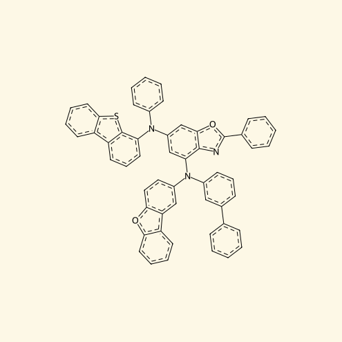 c1ccc(-c2cccc(N(c3ccc4oc5ccccc5c4c3)c3cc(N(c4ccccc4)c4cccc5c4sc4ccccc45)cc4oc(-c5ccccc5)nc34)c2)cc1